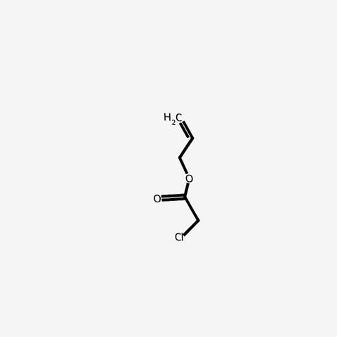 C=CCOC(=O)CCl